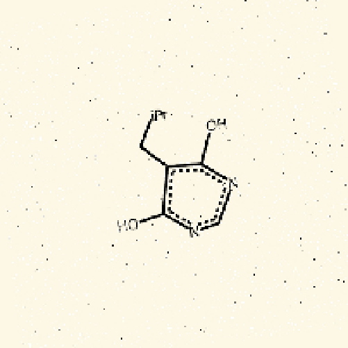 CC(C)Cc1c(O)ncnc1O